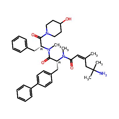 CC(=CC(=O)N(C)[C@H](Cc1ccc(-c2ccccc2)cc1)C(=O)N(C)[C@H](Cc1ccccc1)C(=O)N1CCC(O)CC1)CC(C)(C)N